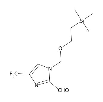 C[Si](C)(C)CCOCn1cc(C(F)(F)F)nc1C=O